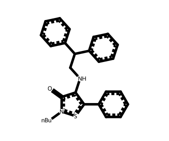 CCCCn1sc(-c2ccccc2)c(NCC(c2ccccc2)c2ccccc2)c1=O